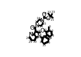 Cc1cccc(F)c1Oc1c(C(=O)N2CCN(C(=O)OC(C)(C)C)CC2)c2ncccc2n1-c1ccccc1